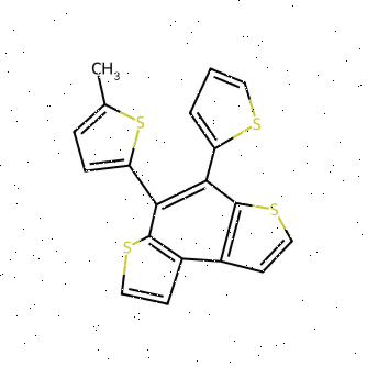 Cc1ccc(-c2c(-c3cccs3)c3sccc3c3ccsc23)s1